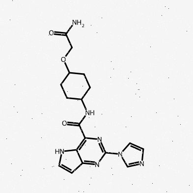 NC(=O)COC1CCC(NC(=O)c2nc(-n3ccnc3)nc3cc[nH]c23)CC1